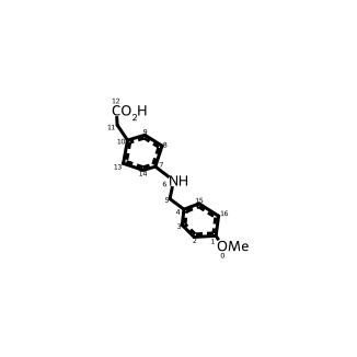 COc1ccc(CNc2ccc(CC(=O)O)cc2)cc1